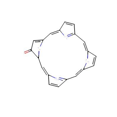 O=C1C=C2C=C3C=CC(=N3)C=c3ccc([nH]3)=CC3=NC(=CC1N2)C=C3.[Ti]